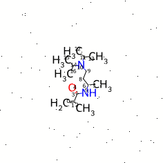 C=C(C)C(=O)NC(C)CCN(C(C)C)C(C)C